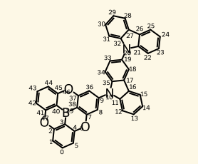 c1cc2c3c(c1)Oc1cc(-n4c5ccccc5c5cc(-n6c7ccccc7c7ccccc76)ccc54)cc4c1B3c1c(cccc1O4)O2